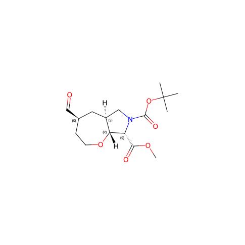 COC(=O)[C@@H]1[C@@H]2OCC[C@@H](C=O)C[C@H]2CN1C(=O)OC(C)(C)C